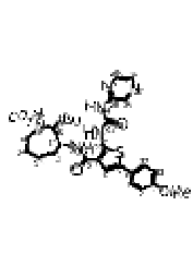 COc1ccc(-c2cc(C(=O)N[C@H]3CCCCN(C(=O)O)C3C(C)(C)C)c(NC(=O)Nc3cnccn3)s2)cc1